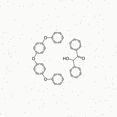 O=C(c1ccccc1)C(O)c1ccccc1.c1ccc(Oc2ccc(Oc3ccc(Oc4ccccc4)cc3)cc2)cc1